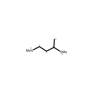 [CH2]C(CCSC)SC